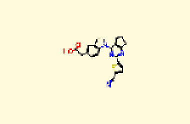 N#Cc1ccc(-c2nc3c(c(N4CCc5cc(CC(=O)O)ccc54)n2)CCC3)s1